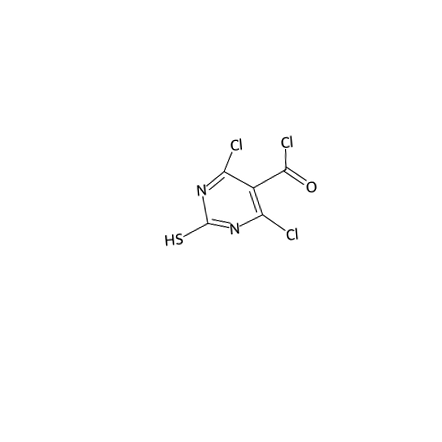 O=C(Cl)c1c(Cl)nc(S)nc1Cl